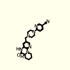 N#Cc1ccc(N2CCN(Cc3cnc4c(c3)NC(=O)[C@@H]3CCCCN43)CC2)nc1